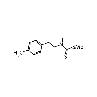 CSC(=S)NCCc1ccc(C)cc1